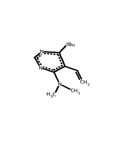 C=Cc1c(N(C)C)ncnc1C(C)(C)C